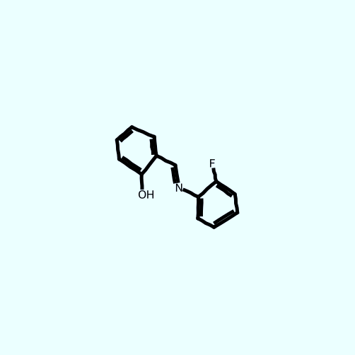 Oc1ccccc1C=Nc1ccccc1F